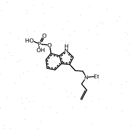 C=CCN(CC)CCc1c[nH]c2c(OP(=O)(O)O)cccc12